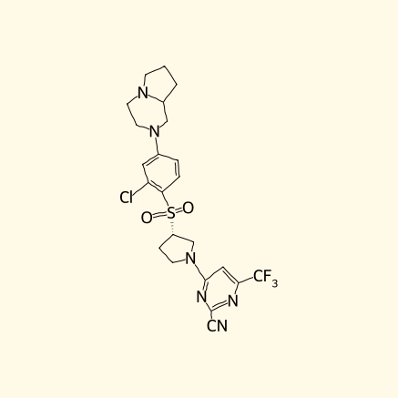 N#Cc1nc(N2CC[C@H](S(=O)(=O)c3ccc(N4CCN5CCCC5C4)cc3Cl)C2)cc(C(F)(F)F)n1